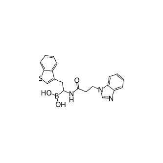 O=C(CCn1cnc2ccccc21)NC(Cc1csc2ccccc12)B(O)O